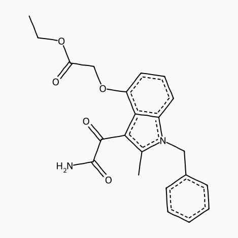 CCOC(=O)COc1cccc2c1c(C(=O)C(N)=O)c(C)n2Cc1ccccc1